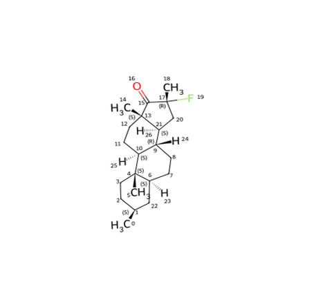 C[C@H]1CC[C@@]2(C)[C@@H](CC[C@@H]3[C@@H]2CC[C@]2(C)C(=O)[C@](C)(F)C[C@@H]32)C1